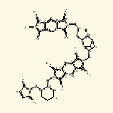 Cn1c(=O)c2cc3c(=O)n(CC4CC5C6CC(Cn7c(=O)c8cc9c(=O)n(CC%10CCCCC%10CN%10C(=O)C=CC%10=O)c(=O)c9cc8c7=O)C(C6)C5C4)c(=O)c3cc2c1=O